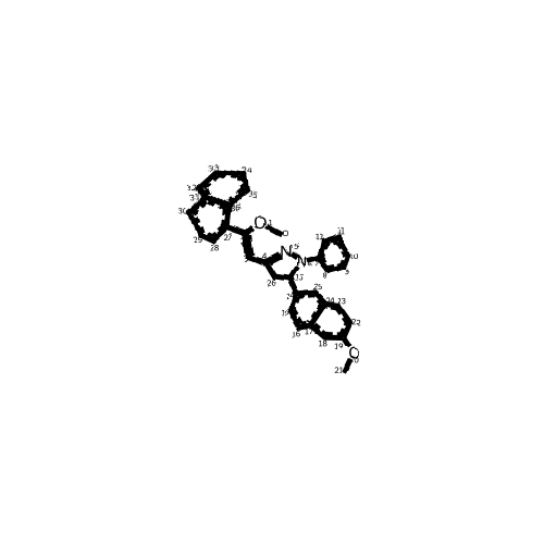 COC(=CC1=NN(c2ccccc2)C(c2ccc3cc(OC)ccc3c2)C1)c1cccc2ccccc12